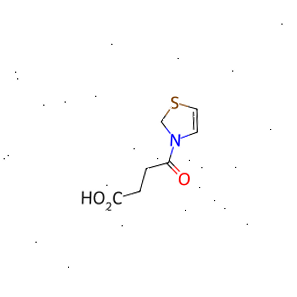 O=C(O)CCC(=O)N1C=CSC1